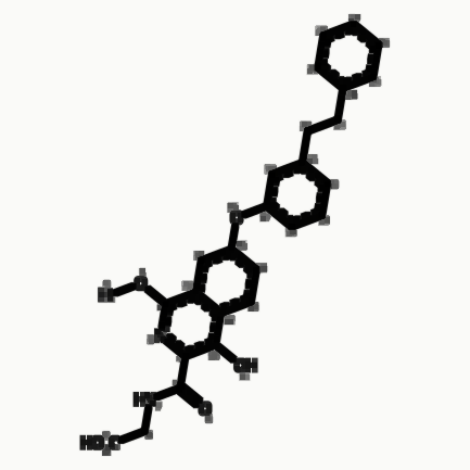 CCOc1nc(C(=O)NCC(=O)O)c(O)c2ccc(Oc3cccc(CCc4ccccc4)c3)cc12